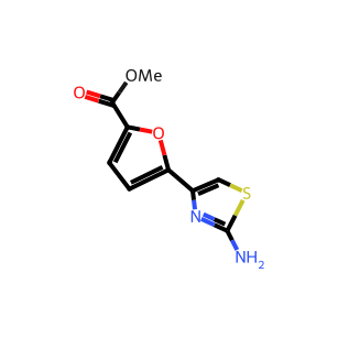 COC(=O)c1ccc(-c2csc(N)n2)o1